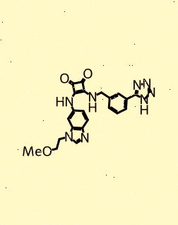 COCCn1cnc2ccc(Nc3c(NCc4cccc(-c5nnn[nH]5)c4)c(=O)c3=O)cc21